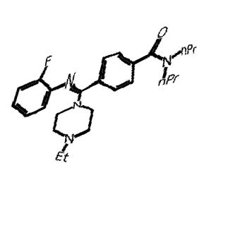 CCCN(CCC)C(=O)c1ccc(C(=Nc2ccccc2F)N2CCN(CC)CC2)cc1